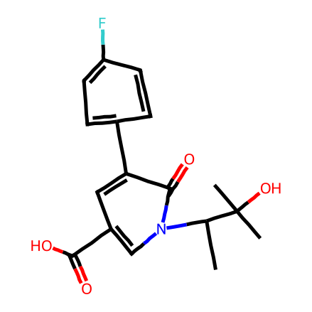 CC(n1cc(C(=O)O)cc(-c2ccc(F)cc2)c1=O)C(C)(C)O